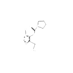 O=C(Oc1c(CO)no[n+]1[O-])N1CCCC1